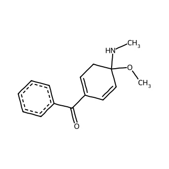 CNC1(OC)C=CC(C(=O)c2ccccc2)=CC1